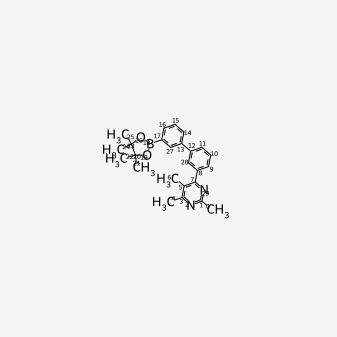 Cc1nc(C)c(C)c(-c2cccc(-c3cccc(B4OC(C)(C)C(C)(C)O4)c3)c2)n1